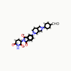 O=CC1CCC(N2CC3CCN(c4ccc5c(c4)C(=O)N(C4CCC(=O)NC4=O)C5=O)CC3C2)CC1